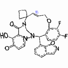 O=C1c2c(O)c(=O)ccn2N2CN1C1(/C=C/COc3c(ccc(F)c3F)C2c2cccc3cnoc23)CCC1